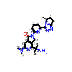 C[C@H]1CCc2nnc(-c3cccc(N4Cc5c(cc(N(C)C)nc5C(C)(C)N)C4=O)n3)n21